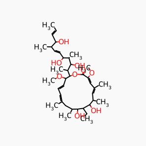 C/C=C/C(O)C(C)/C=C/C(O)C(C)C(O)C(C)C1OC(=O)/C(OC)=C/C(C)=C/C(C)C(O)C(CC)C(O)C(C)C/C(C)=C/C=C/C1OC